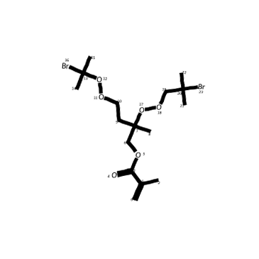 C=C(C)C(=O)OCC(C)(CCOOC(C)(C)Br)OOCC(C)(C)Br